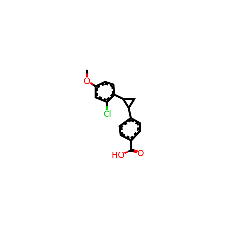 COc1ccc(C2CC2c2ccc(C(=O)O)cc2)c(Cl)c1